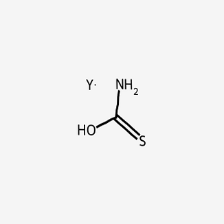 NC(O)=S.[Y]